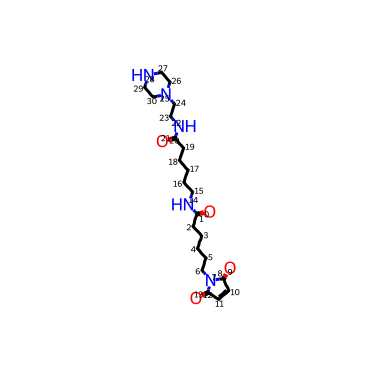 O=C(CCCCCN1C(=O)C=CC1=O)NCCCCCC(=O)NCCN1CCNCC1